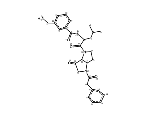 CC(C)CC(NC(=O)c1cccc(CN)c1)C(=O)N1CCC2C1C(=O)CN2C(=O)Cc1ccccc1